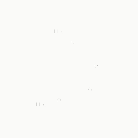 COc1cc(I)c(OC)c2c1OCO2